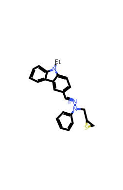 CCn1c2ccccc2c2cc(/C=N/N(CC3CS3)c3ccccc3)ccc21